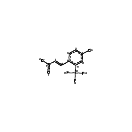 O=[N+]([O-])C=Cc1ccc(Cl)cc1C(F)(F)F